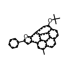 Cc1cc2c3cc(-c4ccccc4)oc3c3cc(OC(C)(C)C)c4ccc5ccc1c1c5c4c3c21